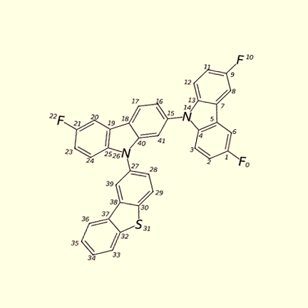 Fc1ccc2c(c1)c1cc(F)ccc1n2-c1ccc2c3cc(F)ccc3n(-c3ccc4sc5ccccc5c4c3)c2c1